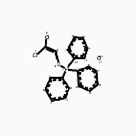 ClC(Cl)=CO[P+](c1ccccc1)(c1ccccc1)c1ccccc1.[Cl-]